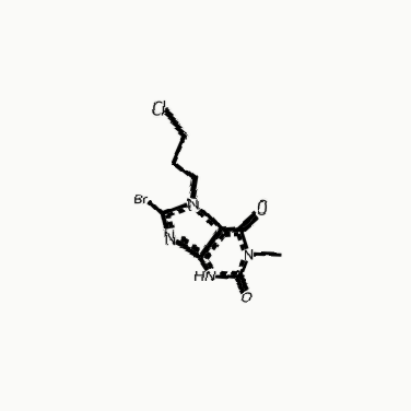 Cn1c(=O)[nH]c2nc(Br)n(CCCCl)c2c1=O